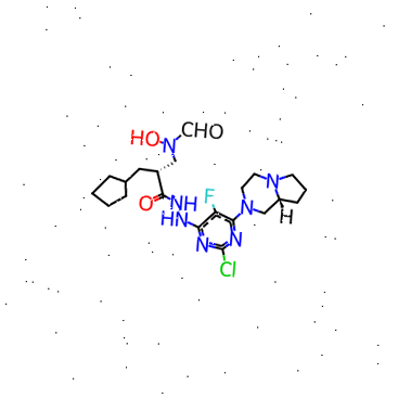 O=CN(O)C[C@@H](CC1CCCC1)C(=O)NNc1nc(Cl)nc(N2CCN3CCC[C@@H]3C2)c1F